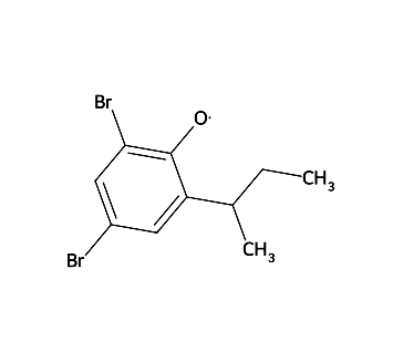 CCC(C)c1cc(Br)cc(Br)c1[O]